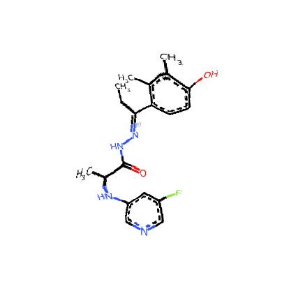 CC/C(=N\NC(=O)C(C)Nc1cncc(F)c1)c1ccc(O)c(C)c1C